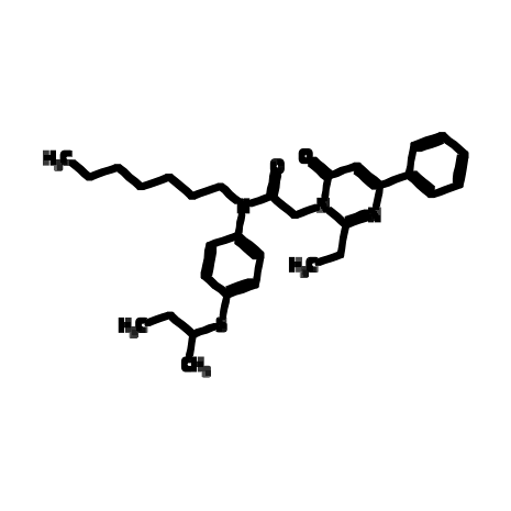 CCCCCCCN(C(=O)Cn1c(CC)nc(-c2ccccc2)cc1=O)c1ccc(SC(C)CC)cc1